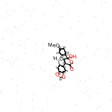 [CH2]C1=C(c2ccc3c(c2)OCO3)C(=O)OC1(O)c1ccc(OC)cc1